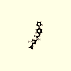 O=C(Cc1ccc(N2CCCC2)cc1)Nc1cc(C2CC2)[nH]n1